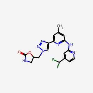 Cc1cc(Nc2cc(C(F)F)ccn2)nc(-c2cn(CC3CNC(=O)O3)nn2)c1